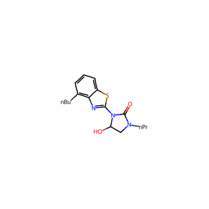 CCCCc1cccc2sc(N3C(=O)N(CCC)CC3O)nc12